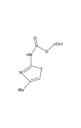 CCCCCCCCOC(=O)Nc1nc(C(C)(C)C)cs1